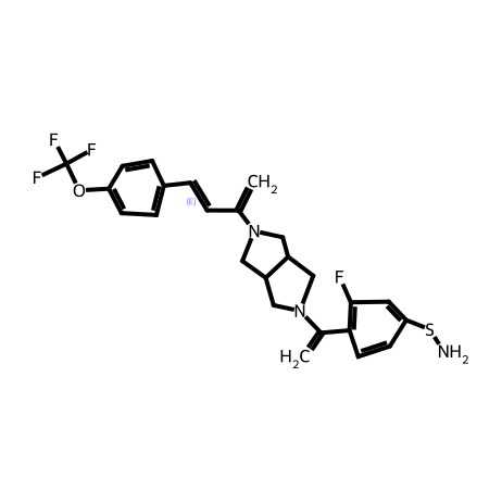 C=C(/C=C/c1ccc(OC(F)(F)F)cc1)N1CC2CN(C(=C)c3ccc(SN)cc3F)CC2C1